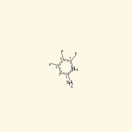 [2H]c1cc(C)c(C)c(C)n1